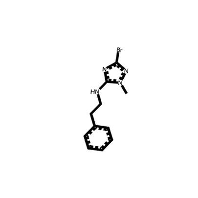 Cn1nc(Br)nc1NCCc1ccccc1